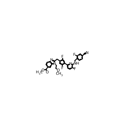 COCCn1c(Cc2cc(F)c(-c3ccc(F)c(NCc4ccc(C#N)cc4F)n3)cc2F)nc2ccc(C(=O)OC)cc21